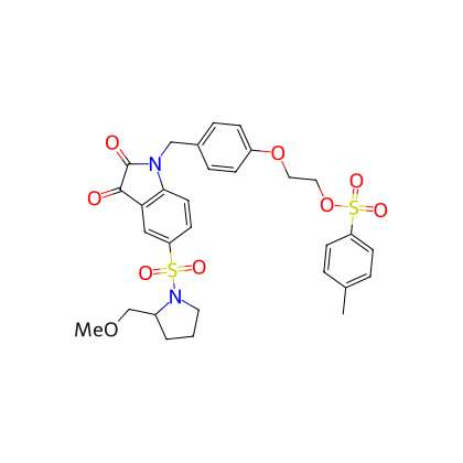 COCC1CCCN1S(=O)(=O)c1ccc2c(c1)C(=O)C(=O)N2Cc1ccc(OCCOS(=O)(=O)c2ccc(C)cc2)cc1